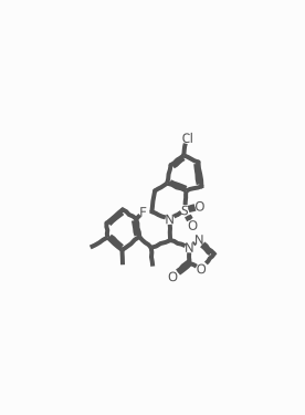 Cc1ccc(F)c(C(C)C(N2CCc3cc(Cl)ccc3S2(=O)=O)n2ncoc2=O)c1C